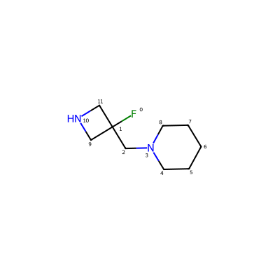 FC1(CN2CCCCC2)CNC1